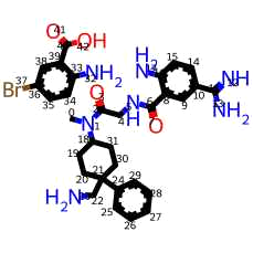 CN(C(=O)CNC(=O)c1cc(C(=N)N)ccc1N)C1CCC(CN)(c2ccccc2)CC1.Nc1ccc(Br)cc1C(=O)O